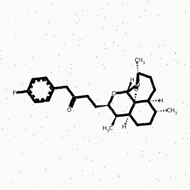 C[C@H]1[C@@H](CCC(=O)Cc2ccc(F)cc2)O[C@@H]2O[C@]3(C)CC[C@H]4[C@H](C)CC[C@@H]1[C@@]24OO3